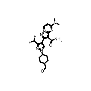 CN(C)c1ccn2nc(-c3cn(C4CCC(CO)CC4)nc3C(F)F)c(C(N)=O)c2n1